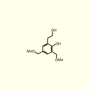 COCc1cc(CCO)c(O)c(COC)c1